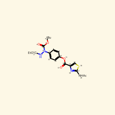 CCOC(=O)NN(C(=O)OC(C)(C)C)c1ccc(OC(=O)c2csc(NC(C)=O)n2)cc1